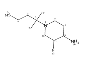 CC(C)(CCS)N1CCC(N)C(F)C1